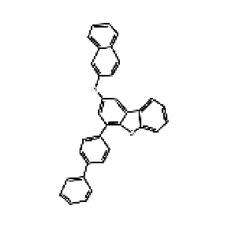 c1ccc(-c2ccc(-c3cc(Nc4ccc5ccccc5c4)cc4c3sc3ccccc34)cc2)cc1